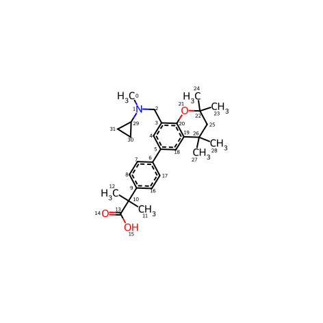 CN(Cc1cc(-c2ccc(C(C)(C)C(=O)O)cc2)cc2c1OC(C)(C)CC2(C)C)C1CC1